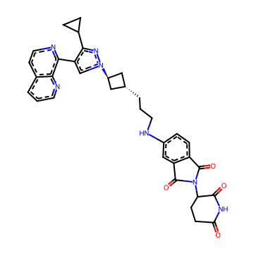 O=C1CCC(N2C(=O)c3ccc(NCCC[C@H]4C[C@H](n5cc(-c6nccc7cccnc67)c(C6CC6)n5)C4)cc3C2=O)C(=O)N1